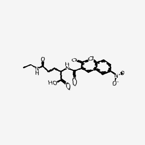 CCNC(=O)CCC(NC(=O)c1cc2cc([N+](=O)[O-])ccc2oc1=O)C(=O)O